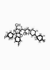 CC1=NC(c2ccc(F)cc2)(c2ccc(F)cc2)C(=O)N1CC(O)CN1CCC(c2ccc(F)cc2)CC1